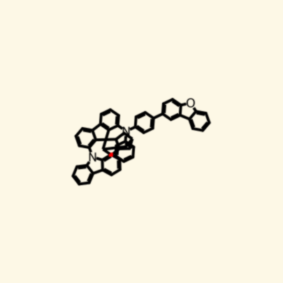 c1ccc(N(c2ccc(-c3ccc4oc5ccccc5c4c3)cc2)c2cccc3c2C2(c4c-3cccc4-n3c4ccccc4c4ccccc43)C3CC4CC(C3)C2C4)cc1